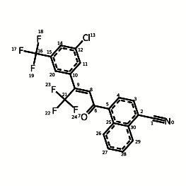 N#Cc1ccc(C(=O)/C=C(/c2cc(Cl)cc(C(F)(F)F)c2)C(F)(F)F)c2ccccc12